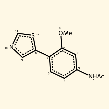 COc1cc(NC(C)=O)ccc1-c1cncs1